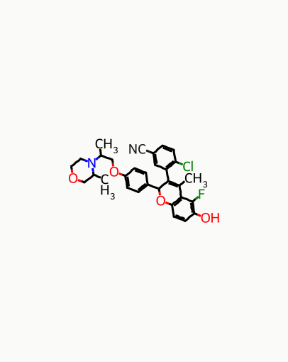 CC1=C(c2cc(C#N)ccc2Cl)C(c2ccc(OCC(C)N3CCOCC3C)cc2)Oc2ccc(O)c(F)c21